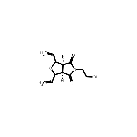 C=CC1OC(C=C)[C@@H]2C(=O)N(CCO)C(=O)[C@H]12